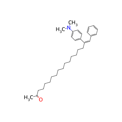 CC(=O)CCCCCCCCCCCCCCC(=Cc1ccccc1)c1ccc(N(C)C)cc1